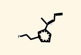 C=C/C=C(\C)c1cccc(CCF)c1